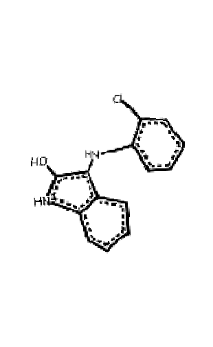 Oc1[nH]c2ccccc2c1Nc1ccccc1Cl